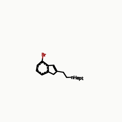 CCCCCCCCCC1=Cc2c(Br)cccc2C1